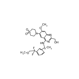 COCC(F)(F)c1cccc([C@@H](C)Nc2nc(CO)nc3cc(OC)c(N4CCS(=O)(=O)CC4)cc23)c1